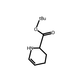 CC(C)(C)OC(=O)C1CCC=CN1